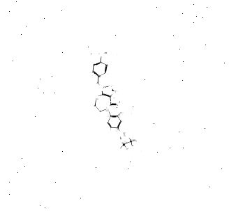 COc1ccc(Cn2nnc3c2OCCN(c2ccc(B4OC(C)(C)C(C)(C)O4)cc2C)C3=O)cc1